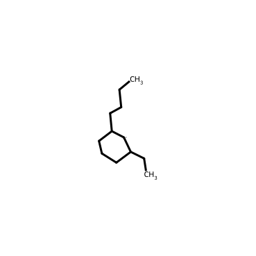 CCCCC1[CH]C(CC)CCC1